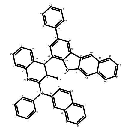 IC1C(N(c2ccccc2)c2ccc3ccccc3c2)=Nc2ccccc2C1c1cc(-c2ccccc2)cc2c1oc1cc3ccccc3cc12